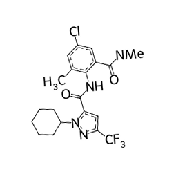 CNC(=O)c1cc(Cl)cc(C)c1NC(=O)c1cc(C(F)(F)F)nn1C1CCCCC1